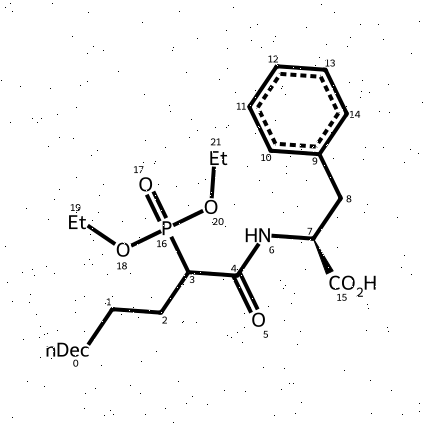 CCCCCCCCCCCCC(C(=O)N[C@@H](Cc1ccccc1)C(=O)O)P(=O)(OCC)OCC